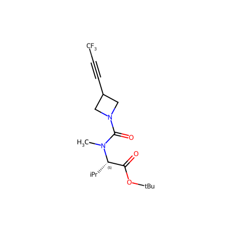 CC(C)[C@@H](C(=O)OC(C)(C)C)N(C)C(=O)N1CC(C#CC(F)(F)F)C1